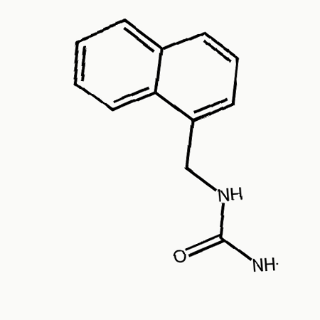 [NH]C(=O)NCc1cccc2ccccc12